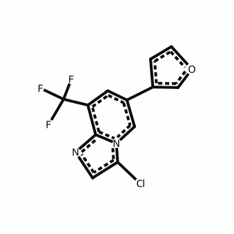 FC(F)(F)c1cc(-c2ccoc2)cn2c(Cl)cnc12